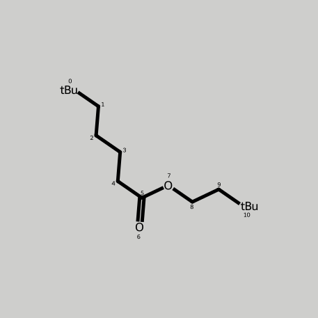 CC(C)(C)CCCCC(=O)OCCC(C)(C)C